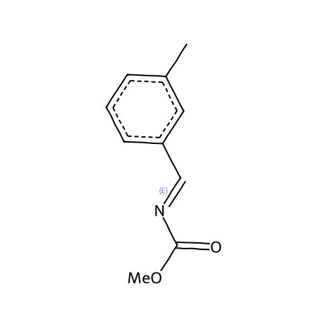 COC(=O)/N=C/c1cccc(C)c1